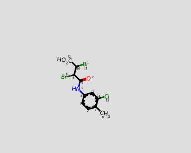 Cc1ccc(NC(=O)C(Br)C(Br)C(=O)O)cc1Cl